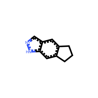 c1n[nH]c2cc3c(cc12)CCC3